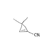 CC1(C)C=C1C#N